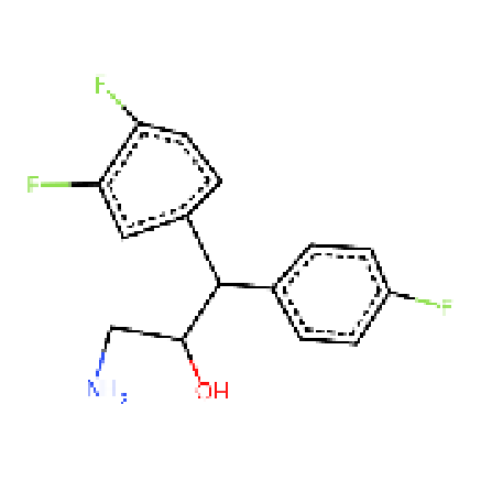 NCC(O)C(c1ccc(F)cc1)c1ccc(F)c(F)c1